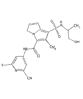 Cc1c(S(=O)(=O)NC(C)CO)c2n(c1C(=O)Nc1cc(F)nc(C#N)c1)CC=C2